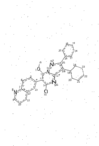 COc1c(-c2ccc3ncccc3c2)c(Cl)nc2c(C3CC=CCC3)c(-c3ccccc3)nn12